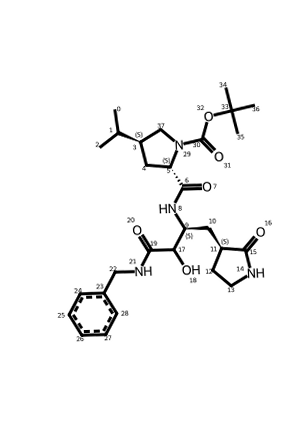 CC(C)[C@@H]1C[C@@H](C(=O)N[C@@H](C[C@@H]2CCNC2=O)C(O)C(=O)NCc2ccccc2)N(C(=O)OC(C)(C)C)C1